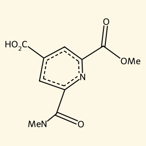 CNC(=O)c1cc(C(=O)O)cc(C(=O)OC)n1